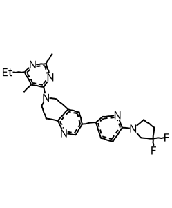 CCc1nc(C)nc(N2CCc3ncc(-c4ccc(N5CCC(F)(F)C5)nc4)cc3C2)c1C